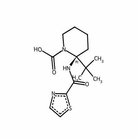 CC(C)(C)[C@@]1(NC(=O)c2nccs2)CCCCN1C(=O)O